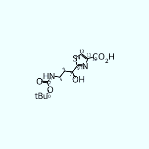 CC(C)(C)OC(=O)NCCC(O)c1nc(C(=O)O)cs1